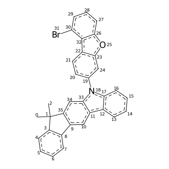 CC1(C)c2ccccc2-c2cc3c4ccccc4n(-c4ccc5c(c4)oc4cccc(Br)c45)c3cc21